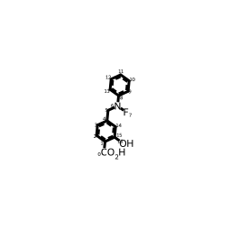 O=C(O)c1ccc(CN(F)c2ccccc2)cc1O